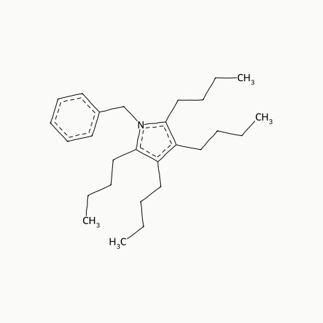 CCCCc1c(CCCC)c(CCCC)n(Cc2ccccc2)c1CCCC